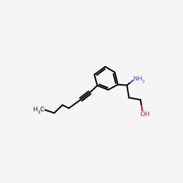 CCCCC#Cc1cccc(C(N)CCO)c1